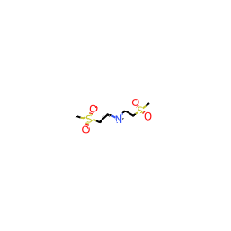 CS(=O)(=O)CC[N]CCS(C)(=O)=O